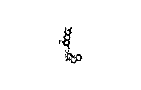 Cc1ccc(Cc2c(F)cc(COC3=NC(C)N4CCC5CCCCN5C4=C3)cc2F)cn1